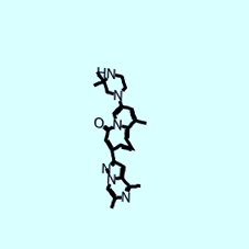 CC1=CC(N2CCNC(C)(C)C2)=CN2C(=O)\C=C(c3cc4c(C)nc(C)cn4n3)/C=C/C=C\12